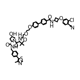 Cc1ncsc1-c1ccc(CNC(=O)[C@@H]2C[C@@H](O)CN2C(=O)[C@@H](NC(=O)COCCOc2ccc(-c3ccc(C(=O)N[C@H]4C[C@H](Oc5ccc(C#N)c(Cl)c5)C4)cc3)cc2)C(C)(C)C)cc1